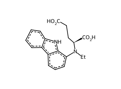 CCN(c1cccc2c1[nH]c1ccccc12)[C@@H](CCC(=O)O)C(=O)O